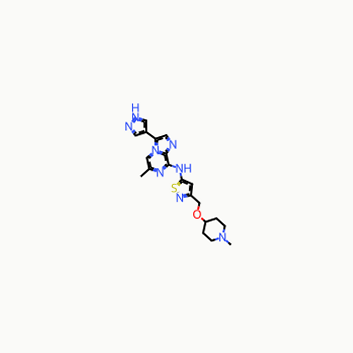 Cc1cn2c(-c3cn[nH]c3)cnc2c(Nc2cc(COC3CCN(C)CC3)ns2)n1